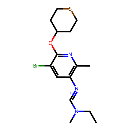 CCN(C)/C=N/c1cc(Br)c(OC2CCSCC2)nc1C